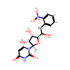 O=c1ccn([C@]2(F)O[C@H](C(O)[Se]c3ccccc3[N+](=O)[O-])[C@@H](O)[C@H]2O)c(=O)[nH]1